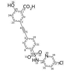 O=C(O)c1cc(C#Cc2ccc(S(=O)(=O)Nc3ccc(Cl)cn3)cc2)ccc1O